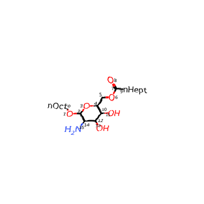 CCCCCCCCOC1OC(COC(=O)CCCCCCC)C(O)C(O)C1N